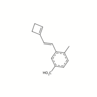 Cc1ccc(C(=O)O)cc1/C=C/C1=CCC1